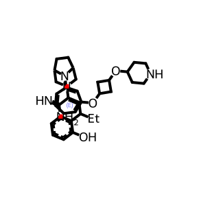 CCC(/C=C(\C(=N)N)N1CC2CCC(C1)N2C1=CC(OC2CC(OC3CCNCC3)C2)=CCC=C1)c1ccccc1O